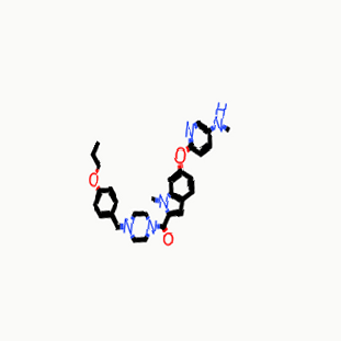 CCCOc1ccc(CN2CCN(C(=O)c3cc4ccc(Oc5ccc(NC)cn5)cc4n3C)CC2)cc1